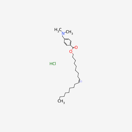 CCCCCCCC/C=C\CCCCCCCCOC(=O)c1ccc(CN(C)C)cc1.Cl